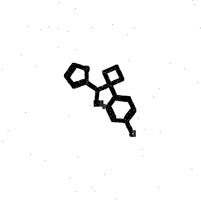 NC(c1ccco1)C1(c2ccc(Cl)cc2)CCC1